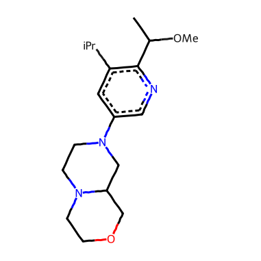 COC(C)c1ncc(N2CCN3CCOCC3C2)cc1C(C)C